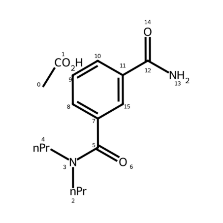 CC(=O)O.CCCN(CCC)C(=O)c1cccc(C(N)=O)c1